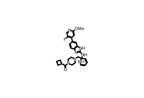 COc1cc(-c2ccc3nc(NC4(CN5CCN(C(=O)C6CCC6)CC5)C=CC=CN4)[nH]c3c2)c(F)cn1